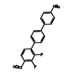 CCCCCCCCc1ccc(-c2ccc(-c3ccc(CCCC)cc3)cc2)c(F)c1F